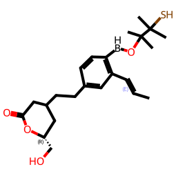 C/C=C/c1cc(CCC2CC(=O)O[C@@H](CO)C2)ccc1BOC(C)(C)C(C)(C)S